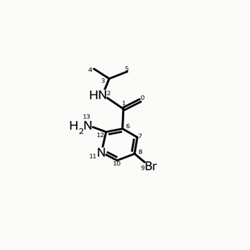 C=C(NC(C)C)c1cc(Br)cnc1N